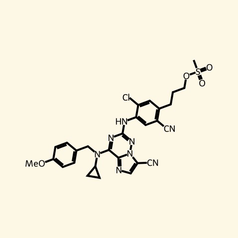 COc1ccc(CN(c2nc(Nc3cc(C#N)c(CCCOS(C)(=O)=O)cc3Cl)nn3c(C#N)cnc23)C2CC2)cc1